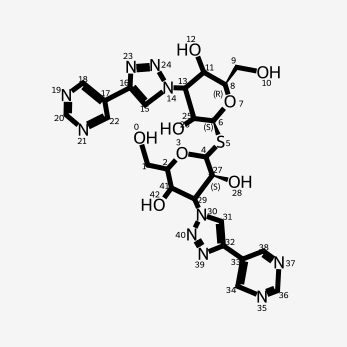 OCC1OC(S[C@@H]2O[C@H](CO)C(O)C(n3cc(-c4cncnc4)nn3)C2O)[C@@H](O)C(n2cc(-c3cncnc3)nn2)C1O